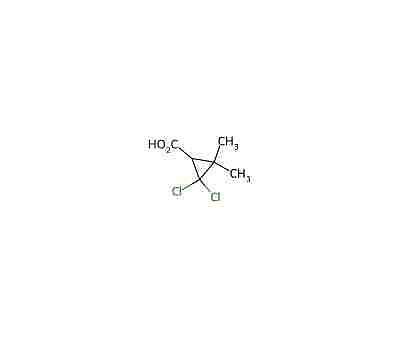 CC1(C)C(C(=O)O)C1(Cl)Cl